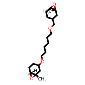 CC12CC(COCCCCCCOC3CC[C@H]4OC4(C)C3)CCC1O2